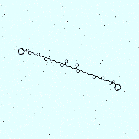 O=C(CCCC(=O)OCCCCCOCCOCCOOc1ccccc1)OCCCCCOCCOCCOOc1ccccc1